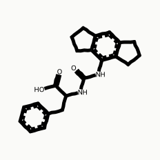 O=C(Nc1c2c(cc3c1CCC3)CCC2)NC(Cc1ccccc1)C(=O)O